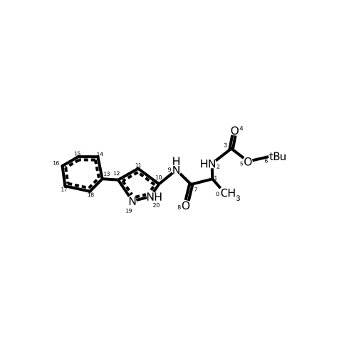 CC(NC(=O)OC(C)(C)C)C(=O)Nc1cc(-c2ccccc2)n[nH]1